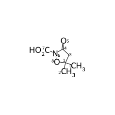 CC1(C)CC(=O)N(C(=O)O)O1